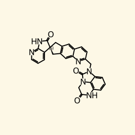 O=C1Cn2c(=O)n(Cc3ccc4cc5c(cc4n3)C[C@]3(C5)C(=O)Nc4ncccc43)c3cccc(c32)N1